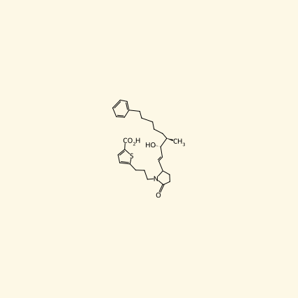 C[C@H](CCCCCc1ccccc1)[C@@H](O)C=CC1CCC(=O)N1CCCc1ccc(C(=O)O)s1